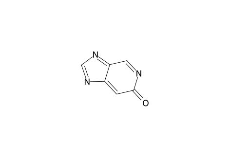 O=C1C=C2N=CN=C2C=N1